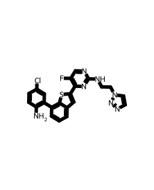 Nc1ccc(Cl)cc1-c1cccc2cc(-c3nc(NCCn4ccnn4)ncc3F)sc12